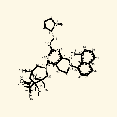 CN1CCC[C@H]1COc1nc2c(c(N3C[C@H]4CC(O)(C(F)F)[C@@H](C3)N4C(=O)O)n1)CCN(c1cccc3cccc(Cl)c13)C2